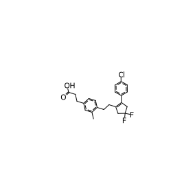 Cc1cc(CCC(=O)O)ccc1CCC1=C(c2ccc(Cl)cc2)CC(F)(F)C1